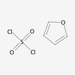 O=S(=O)(Cl)Cl.c1ccoc1